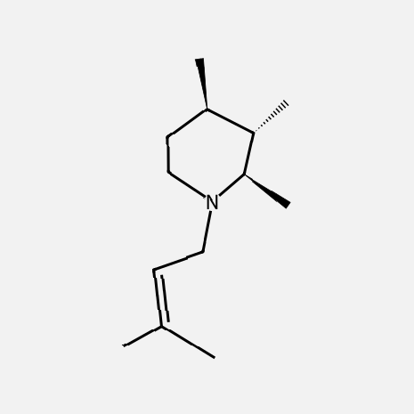 CC(C)=CCN1CC[C@@H](C)[C@H](C)[C@H]1C